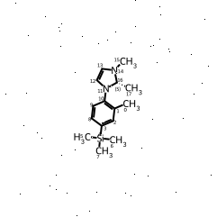 Cc1cc([Si](C)(C)C)ccc1N1C=CN(C)[C@@H]1C